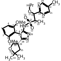 COc1cccc(OC)c1-n1c(NS(=O)(=O)C(C)C(OC(C)C)c2ncc(C)cn2)nnc1[C@H]1COC(C)(C)C1